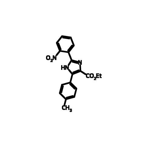 CCOC(=O)c1nc(-c2ccccc2[N+](=O)[O-])[nH]c1-c1ccc(C)cc1